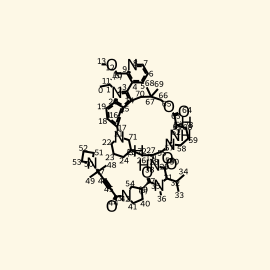 CCn1c(-c2cccnc2[C@H](C)OC)c2c3cc(ccc31)N1CCC[C@@H](C[C@H](NC(=O)C(C(C)C)N(C)C(=O)[C@H]3CCN(C(=O)C#CC(C)(C)N4CCC4)C3)C(=O)N3CCC[C@H](N3)C(=O)OCC(C)(C)C2)C1